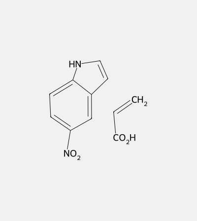 C=CC(=O)O.O=[N+]([O-])c1ccc2[nH]ccc2c1